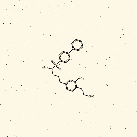 CCCN(CCSc1ccc(OCC=O)c(C)c1)S(=O)(=O)c1ccc(-c2ccccc2)cc1